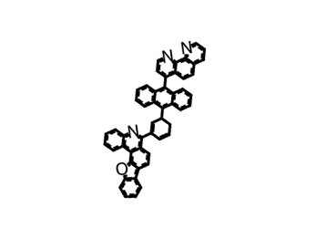 C1=CC(c2nc3ccccc3c3c2ccc2c4ccccc4oc23)=CC(c2c3ccccc3c(-c3ccnc4c3ccc3cccnc34)c3ccccc23)C1